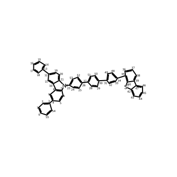 c1ccc(-c2ccc3c(c2)c2cc(-c4ccccc4)ccc2n3-c2ccc(-c3ccc(-c4ccc(-c5cccc6c5sc5ccccc56)cc4)cc3)cc2)cc1